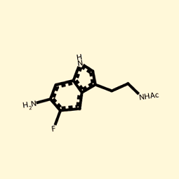 CC(=O)NCCc1c[nH]c2cc(N)c(F)cc12